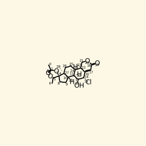 CC(=O)O[C@]1(C(C)=O)CC[C@H]2[C@@H]3[C@H](O)[C@@H](Cl)C4=CC(=O)OC[C@]4(C)[C@H]3CC[C@@]21C